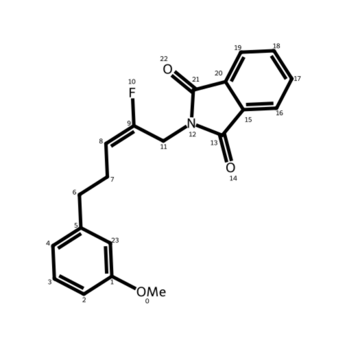 COc1cccc(CC/C=C(/F)CN2C(=O)c3ccccc3C2=O)c1